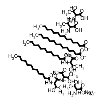 CCCCCCCCCCCC(=O)N[C@H](C(=O)N[C@H]([C](=O)[Na])[C@@H](C)O)[C@@H](C)O.CCCCCCCCCCCC(=O)N[C@H]([C](=O)[Na])[C@@H](C)O.CCCCCCCCCCCCCC(=O)[O-].CCCCCCCCCCCCCC(=O)[O-].C[C@@H](O)[C@H](N)C(=O)O.C[C@@H](O)[C@H](N)C(=O)O.C[C@@H](O)[C@H](N)C(=O)O.[Na+].[Na+]